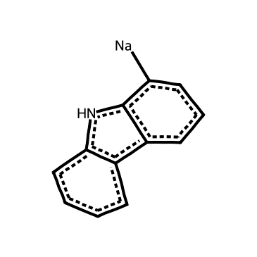 [Na][c]1cccc2c1[nH]c1ccccc12